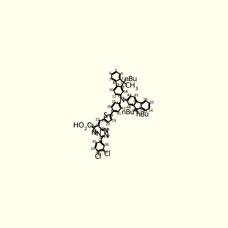 CCCCC1(C)c2ccccc2-c2ccc(N(c3ccc(-c4ccc(/C=c5/c(C(=O)O)nn6c(-c7ccc(Cl)c(Cl)c7)nnc56)s4)cc3)c3ccc4c(c3)C(CCCC)(CCCC)c3ccccc3-4)cc21